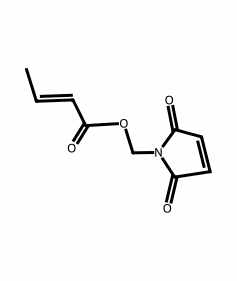 CC=CC(=O)OCN1C(=O)C=CC1=O